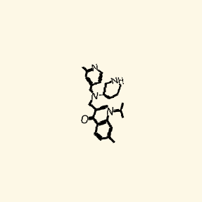 Cc1ccc2c(=O)c(CN(Cc3ccnc(C)c3)[C@H]3CCCNC3)cn(C(C)C)c2c1